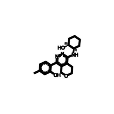 Cc1ccc(-c2nnc(N[C@@H]3CCCC[C@H]3O)c3c2COCC3)c(O)c1